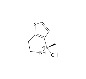 C[C@@]1(O)NCCc2sccc21